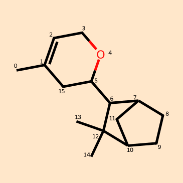 CC1=CCOC(C2C3CCC(C3)C2(C)C)C1